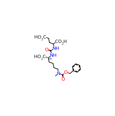 CN(CCCC[C@H](NC(=O)NC(CCC(=O)O)C(=O)O)C(=O)O)C(=O)OCc1ccccc1